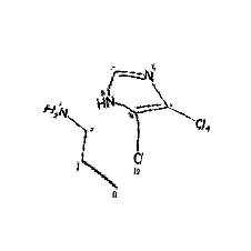 CCCN.Clc1nc[nH]c1Cl